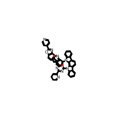 C1=NC(c2nc(-c3cccnc3)nc(-n3c4ccccc4c4ccc5c6ccccc6n(-c6cccc(-c7ccc8oc(-c9ccncc9)nc8c7)c6)c5c43)n2)=CCC1